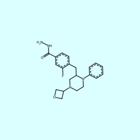 NNC(=O)c1ccc(CC2CN(C3COC3)CCN2c2ccccc2)c(F)c1